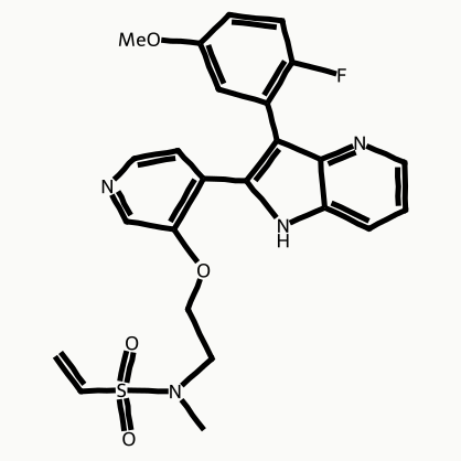 C=CS(=O)(=O)N(C)CCOc1cnccc1-c1[nH]c2cccnc2c1-c1cc(OC)ccc1F